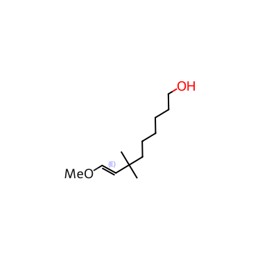 CO/C=C/C(C)(C)CCCCCCO